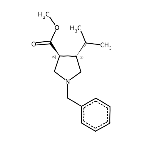 COC(=O)[C@@H]1CN(Cc2ccccc2)C[C@H]1C(C)C